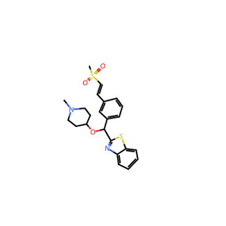 CN1CCC(OC(c2cccc(C=CS(C)(=O)=O)c2)c2nc3ccccc3s2)CC1